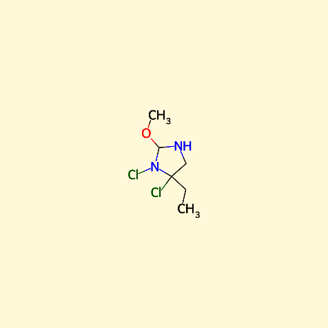 CCC1(Cl)CNC(OC)N1Cl